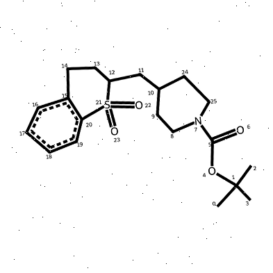 CC(C)(C)OC(=O)N1CCC(CC2CCc3ccccc3S2(=O)=O)CC1